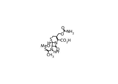 CCCN(C(C)=S)[C@]1(OC)C(=O)N2C(C(=O)O)=C(COC(N)=O)CS[C@H]21